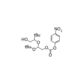 CC(C)(C)OC(COC(=O)Oc1ccc([N+](=O)[O-])cc1)OC(CO)C(C)(C)C